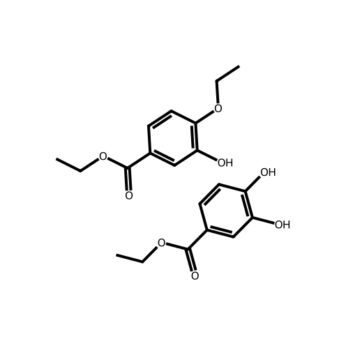 CCOC(=O)c1ccc(O)c(O)c1.CCOC(=O)c1ccc(OCC)c(O)c1